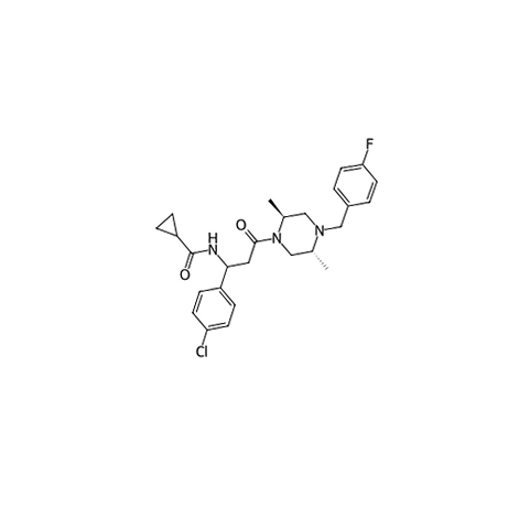 C[C@@H]1CN(C(=O)CC(NC(=O)C2CC2)c2ccc(Cl)cc2)[C@@H](C)CN1Cc1ccc(F)cc1